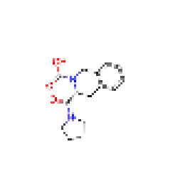 O=C([C@@H]1Cc2ccccc2CN1C(=O)O)N1CCCC1